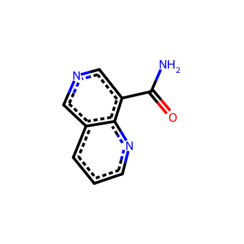 NC(=O)c1cncc2cccnc12